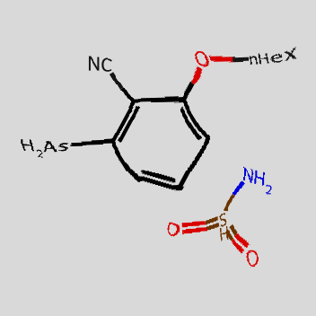 CCCCCCOc1cccc([AsH2])c1C#N.N[SH](=O)=O